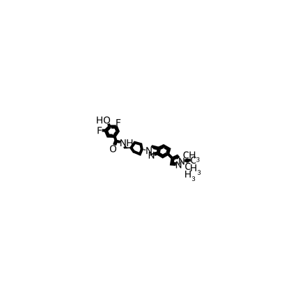 CC(C)(C)n1cc(-c2ccc3cn([C@H]4CC[C@H](CNC(=O)c5cc(F)c(O)c(F)c5)CC4)nc3c2)cn1